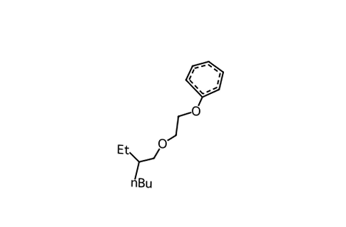 CCCCC(CC)COCCOc1ccccc1